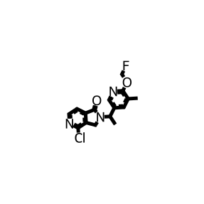 Cc1cc(C(C)N2Cc3c(ccnc3Cl)C2=O)cnc1OCF